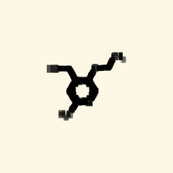 CCOc1cnc(C)cc1CO